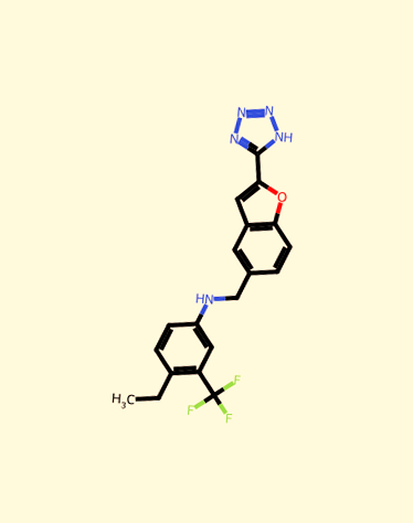 CCc1ccc(NCc2ccc3oc(-c4nnn[nH]4)cc3c2)cc1C(F)(F)F